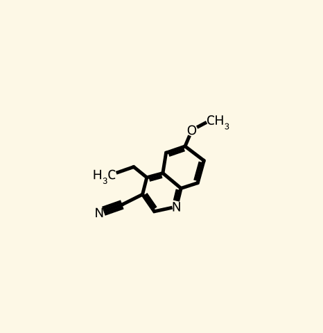 CCc1c(C#N)cnc2ccc(OC)cc12